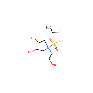 CCC.O=S(=O)(O)[N+](CCO)(CCO)CCO